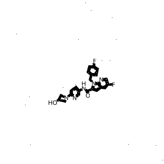 O=C(Nc1ccc(N2CC(O)C2)nc1)c1cc2cc(F)cnc2n1Cc1ccc(F)cc1